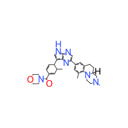 Cc1cc(-c2cnc3[nH]cc(C4C=CC(C(=O)N5CCOCC5)=CC4C)c3n2)cc2c1N1CCN(C)C[C@H]1CC2